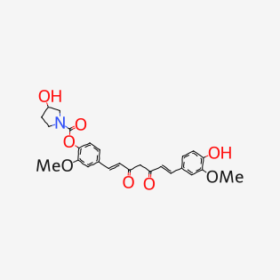 COc1cc(C=CC(=O)CC(=O)C=Cc2ccc(OC(=O)N3CCC(O)C3)c(OC)c2)ccc1O